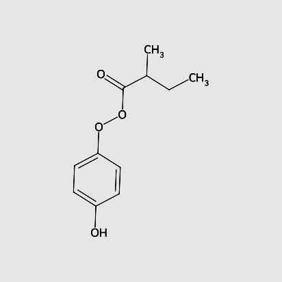 CCC(C)C(=O)OOc1ccc(O)cc1